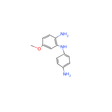 COc1ccc(N)c(Nc2ccc(N)cc2)c1